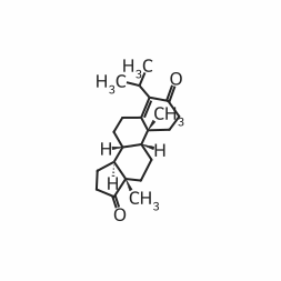 CC(C)C1=C2CC[C@@H]3[C@@H](CC[C@]4(C)C(=O)CC[C@@H]34)[C@@]2(C)CCC1=O